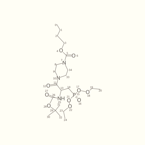 CCCCOC(=O)N1CCN(C(=O)C(CP(=O)(OOCC)OOCC)NC(=O)OC(C)(C)C)CC1